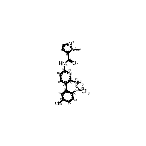 Cn1nccc1C(=O)Nc1ccc(-c2cc(Cl)ccc2OC(F)(F)F)c(N)n1